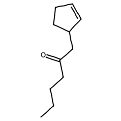 CCCCC(=O)CC1C=CCC1